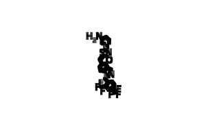 N[C@@H]1CCCN(C2=NC(=O)C(=Cc3ccc4c(cnn4Cc4ccc(C(F)(F)F)cc4C(F)(F)F)c3)S2)C1